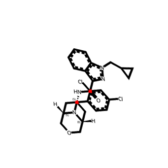 O=C(N[C@H]1C[C@H]2COC[C@@H](C1)N2Cc1ccc(Cl)cc1Cl)c1nn(CC2CC2)c2ccccc12